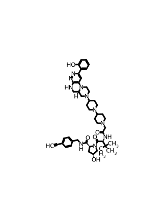 C#Cc1ccc(CNC(=O)[C@@H]2C[C@@H](O)CN2C(=O)[C@@H](NC(=O)CN2CCC(N3CCC(N4CCN5c6cc(-c7ccccc7O)nnc6NC[C@H]5C4)CC3)CC2)C(C)(C)C)cc1